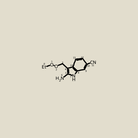 CCOOCc1c(N)[nH]c2cc(C#N)ccc12